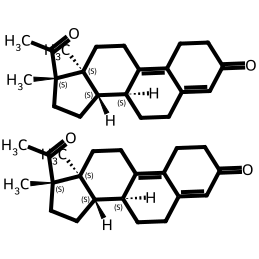 CC(=O)[C@@]1(C)CC[C@H]2[C@@H]3CCC4=CC(=O)CCC4=C3CC[C@@]21C.CC(=O)[C@@]1(C)CC[C@H]2[C@@H]3CCC4=CC(=O)CCC4=C3CC[C@@]21C